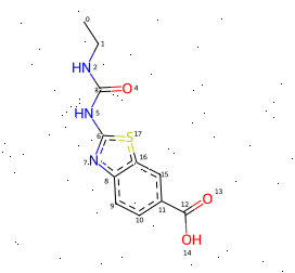 CCNC(=O)Nc1nc2ccc(C(=O)O)cc2s1